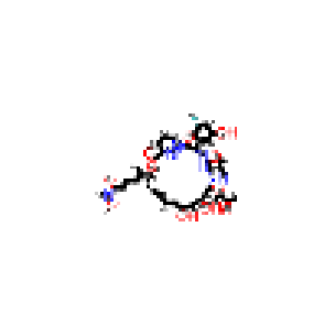 CON(C)C(=O)/C=C/C=C(\C)[C@@H]1C/C=C/C=C/[C@H](O)[C@H](C)[C@@H](O)[C@@H](CCC(C)=O)C(=O)N[C@@H](C(C)C)C(=O)NC(c2cc(O)cc(F)c2)C(=O)N2CCCC(N2)C(=O)O1